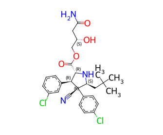 CC(C)(C)C[C@@H]1N[C@@H](C(=O)OC[C@@H](O)CC(N)=O)[C@H](c2cccc(Cl)c2)[C@@]1(C#N)c1ccc(Cl)cc1